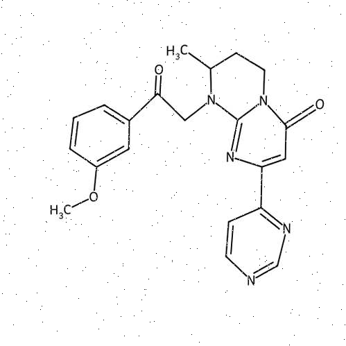 COc1cccc(C(=O)CN2c3nc(-c4ccncn4)cc(=O)n3CCC2C)c1